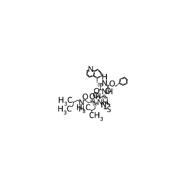 CCC(C)CNC(=O)C[C@H](O)[C@H](CC(C)C)NC(=O)[C@H](Cc1cscn1)NC(=O)[C@H](Cc1cccc2ncccc12)NC(=O)OCc1ccccc1